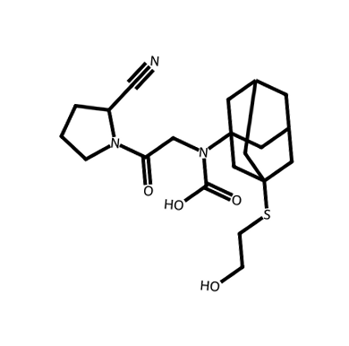 N#CC1CCCN1C(=O)CN(C(=O)O)C12CC3CC(CC(SCCO)(C3)C1)C2